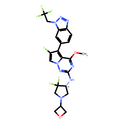 COc1nc(N[C@@H]2CN(C3COC3)CC2(F)F)nn2cc(F)c(-c3ccc4nnn(CC(F)(F)F)c4c3)c12